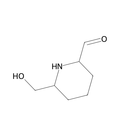 O=CC1CCCC(CO)N1